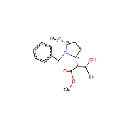 CCC(O)C(C(=O)OC(C)(C)C)[C@H]1CC[C@@H](C(=O)O)N1Cc1ccccc1